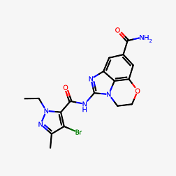 CCn1nc(C)c(Br)c1C(=O)Nc1nc2cc(C(N)=O)cc3c2n1CCO3